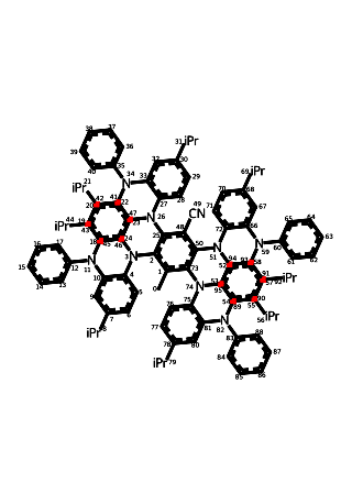 Cc1c(N2c3ccc(C(C)C)cc3N(c3ccccc3)c3cc(C(C)C)ccc32)c(N2c3ccc(C(C)C)cc3N(c3ccccc3)c3cc(C(C)C)ccc32)c(C#N)c(N2c3ccc(C(C)C)cc3N(c3ccccc3)c3cc(C(C)C)ccc32)c1N1c2ccc(C(C)C)cc2N(c2ccccc2)c2cc(C(C)C)ccc21